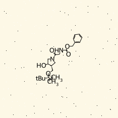 CC(C)(C)[Si](C)(C)OC[C@@H]1CN(C(=O)CNC(=O)OCc2ccccc2)C[C@@H]1O